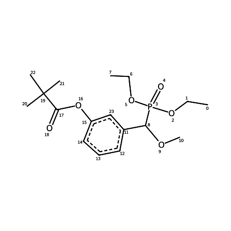 CCOP(=O)(OCC)C(OC)c1cccc(OC(=O)C(C)(C)C)c1